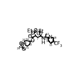 CCOP(=O)(OCC)C(CC(=O)NC(C)c1ccc(C(F)(F)F)cn1)C(=O)OC1CCN(S(C)(=O)=O)CC1